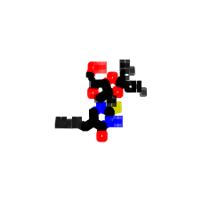 CNCc1cn([C@@H]2O[C@H](CO)C3OC(C)(C)O[C@@H]32)c(=S)[nH]c1=O